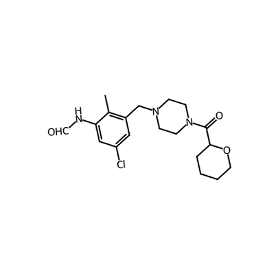 Cc1c(CN2CCN(C(=O)C3CCCCO3)CC2)cc(Cl)cc1NC=O